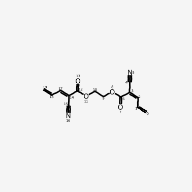 C=CC=C(C#N)C(=O)OCCOC(=O)C(C#N)=CC=C